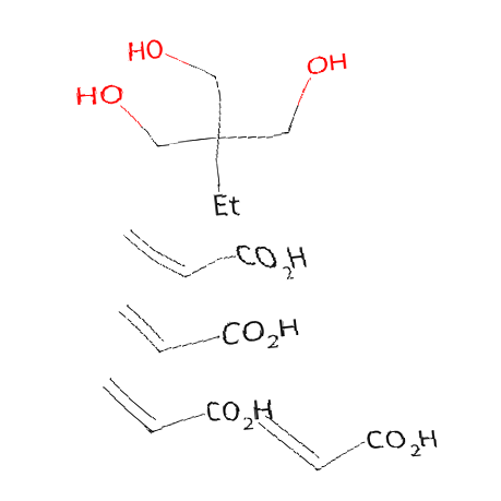 C=CC(=O)O.C=CC(=O)O.C=CC(=O)O.C=CC(=O)O.CCC(CO)(CO)CO